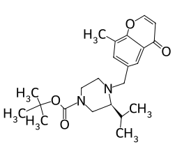 Cc1cc(CN2CCN(C(=O)OC(C)(C)C)C[C@@H]2C(C)C)cc2c(=O)ccoc12